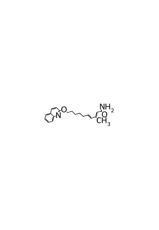 CC(C=CCCCCCOc1ccc2ccccc2n1)=CC(N)=O